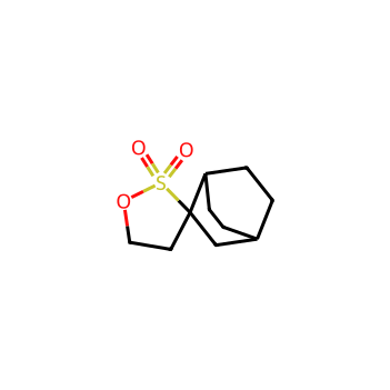 O=S1(=O)OCCC12CC1CCC2CC1